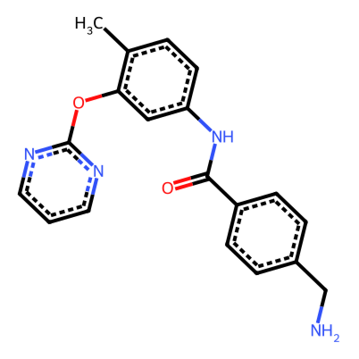 Cc1ccc(NC(=O)c2ccc(CN)cc2)cc1Oc1ncccn1